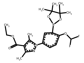 CCOC(=O)c1c(C)nn(-c2ccc(OC(F)F)c(B3OC(C)(C)C(C)(C)O3)c2)c1C